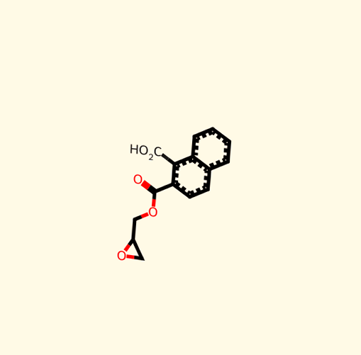 O=C(OCC1CO1)c1ccc2ccccc2c1C(=O)O